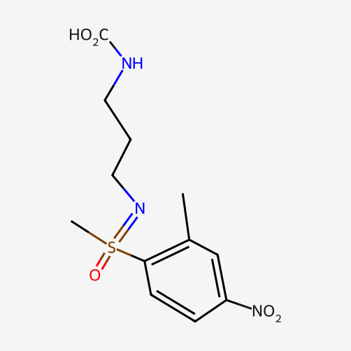 Cc1cc([N+](=O)[O-])ccc1S(C)(=O)=NCCCNC(=O)O